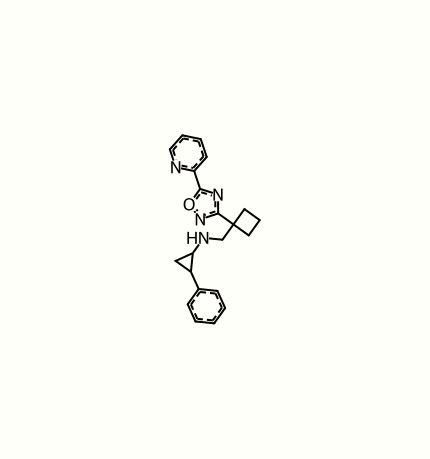 c1ccc(C2CC2NCC2(c3noc(-c4ccccn4)n3)CCC2)cc1